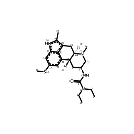 CCN(CC)C(=O)N[C@H]1C[C@@H]2c3cc(SC)cc4[nH]c(C)c(c34)C[C@H]2N(C)C1